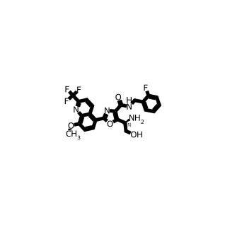 COc1ccc(-c2nc(C(=O)NCc3ccccc3F)c([C@@H](N)CO)o2)c2ccc(C(F)(F)F)nc12